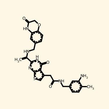 C=C(NCc1ccc2c(c1)NC(=O)CO2)c1nc2scc(CC(=O)NCc3ccc(C)c(N)c3)c2c(=O)[nH]1